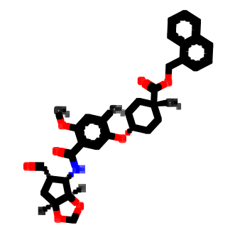 COc1cc(C)c(O[C@H]2CC[C@@](C)(C(=O)OCc3cccc4ccccc34)CC2)cc1C(=O)N[C@@H]1[C@H]2OCO[C@H]2C[C@@H]1C=O